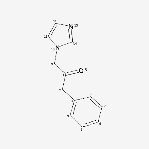 O=C(Cc1ccccc1)Cn1ccnc1